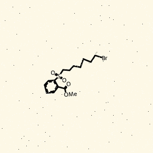 COC(=O)c1ccccc1S(=O)(=O)CCCCCCCBr